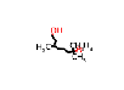 COC(C)(C)CCCC(C)CCO